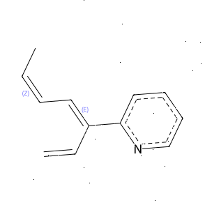 C=C/C(=C\C=C/C)c1ccccn1